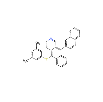 Cc1cc(C)cc(Sc2c3ccccc3c(-c3ccc4ccccc4c3)c3cnccc23)c1